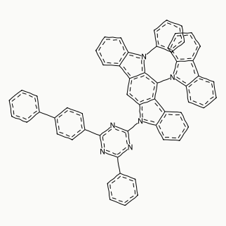 c1ccc(-c2ccc(-c3nc(-c4ccccc4)nc(-n4c5ccccc5c5c(-n6c7ccccc7c7ccccc76)c6c(cc54)c4ccccc4n6-c4ccccc4)n3)cc2)cc1